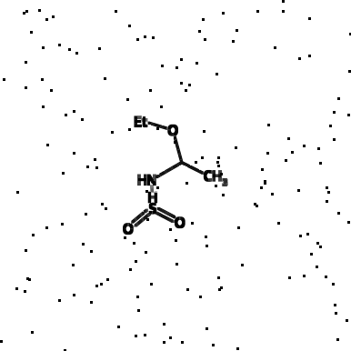 CCOC(C)N[SH](=O)=O